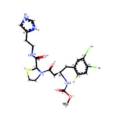 CC(C)(C)OC(=O)N[C@@H](CC(=O)N1CCSC1C(=O)NCCc1c[nH]cn1)Cc1cc(F)c(F)cc1F